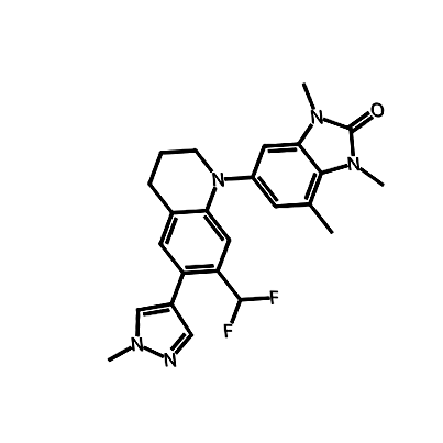 Cc1cc(N2CCCc3cc(-c4cnn(C)c4)c(C(F)F)cc32)cc2c1n(C)c(=O)n2C